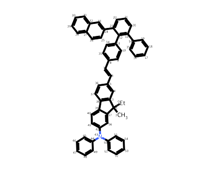 CCC1(C)c2cc(/C=C/c3ccc(-c4c(-c5ccccc5)cccc4-c4ccc5ccccc5c4)cc3)ccc2-c2ccc(N(c3ccccc3)c3ccccc3)cc21